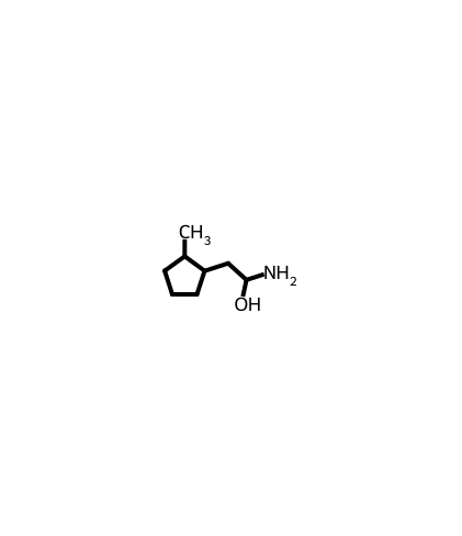 CC1CCCC1CC(N)O